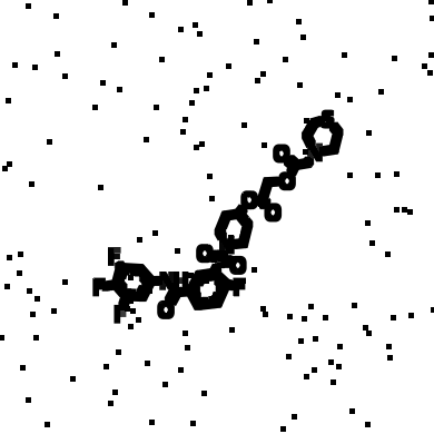 O=C(CN1CCSCC1)OCC(=O)OC1CCN(S(=O)(=O)c2cc(C(=O)Nc3cc(F)c(F)c(F)c3)ccc2F)CC1